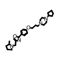 CC1CCCN1Cc1coc(-c2ccc(OCCCN3CCN(C4CCCC4)CC3)cc2)n1